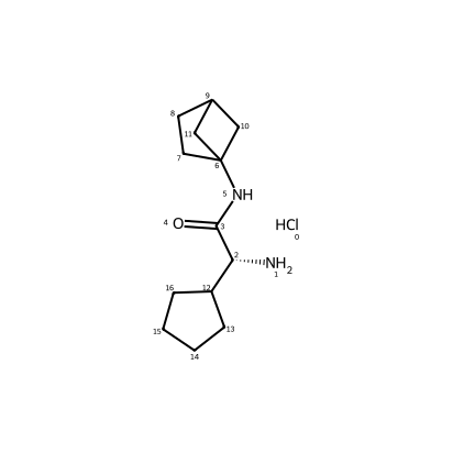 Cl.N[C@@H](C(=O)NC12CCC(C1)C2)C1CCCC1